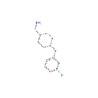 NCC1CCC([CH]c2cccc(F)c2)CC1